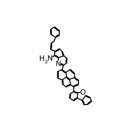 Nc1c(/C=C\Cc2ccccc2)ccc2ccc(-c3ccc4ccc5c(-c6cccc7c6oc6ccccc67)ccc6ccc3c4c65)nc12